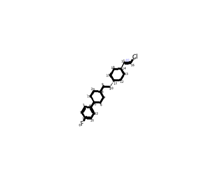 Fc1ccc(C2CCC(CC[C@H]3CC[C@H](/C=C/Cl)CC3)CC2)cc1